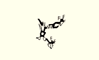 COc1cc2nc(C)nc(NCc3ccnc(C(F)(F)F)c3)c2cc1OCC(OC)C(F)(F)F